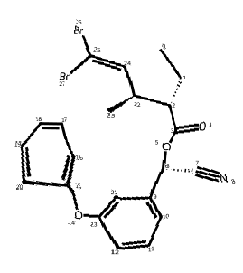 CC[C@H](C(=O)O[C@H](C#N)c1cccc(Oc2ccccc2)c1)[C@@H](C)C=C(Br)Br